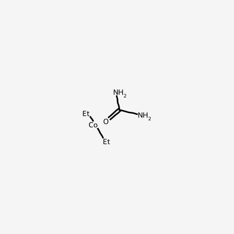 C[CH2][Co][CH2]C.NC(N)=O